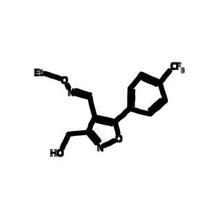 CCON=Cc1c(CO)noc1-c1ccc(C(F)(F)F)cc1